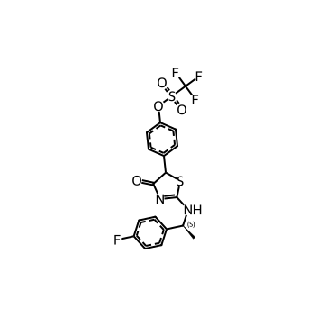 C[C@H](NC1=NC(=O)C(c2ccc(OS(=O)(=O)C(F)(F)F)cc2)S1)c1ccc(F)cc1